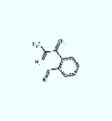 C=C(C)C(=C)c1ccccc1C=N